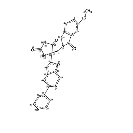 COc1ccc2c(c1)C(=O)N(C[C@@]1(c3cc4cc(-c5ccncc5)ncc4o3)NC(=O)NC1=O)C2